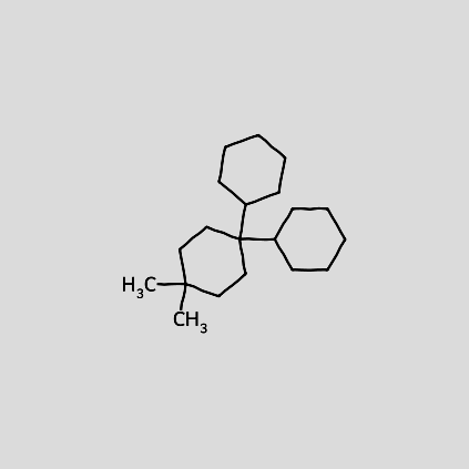 CC1(C)CCC(C2CCCCC2)(C2CCCCC2)CC1